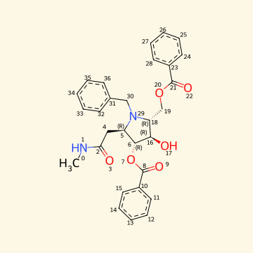 CNC(=O)C[C@@H]1[C@@H](OC(=O)c2ccccc2)[C@H](O)[C@@H](COC(=O)c2ccccc2)N1Cc1ccccc1